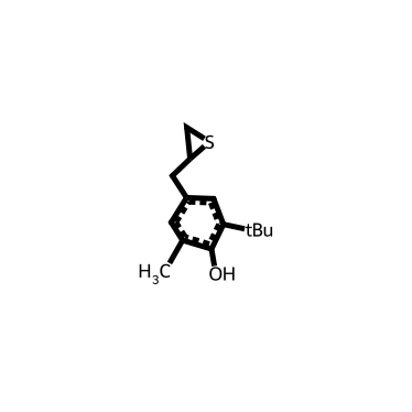 Cc1cc(CC2CS2)cc(C(C)(C)C)c1O